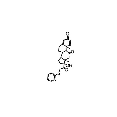 CC12C=CC(=O)C=C1CCC1C2C(=O)CC2(C)C1CC[C@]2(O)C(=O)CSc1ccccn1